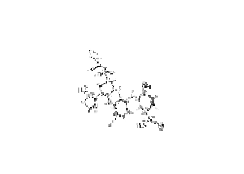 CCOC(=O)CS(=O)(=O)c1ccc(Oc2c(F)cnc(Oc3cc(C(=N)N)ccc3O)c2F)c(C2N=CCN2C)c1